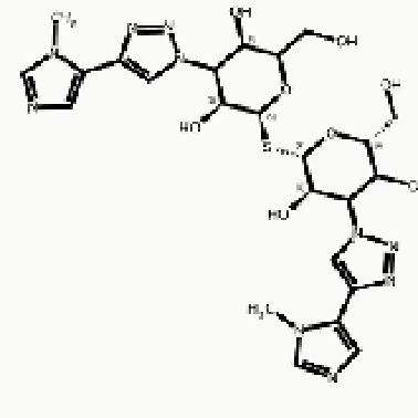 Cn1cncc1-c1cn(C2C(O)[C@@H](CO)O[C@@H](S[C@@H]3OC(CO)[C@H](O)C(n4cc(-c5cncn5C)nn4)[C@@H]3O)[C@@H]2O)nn1